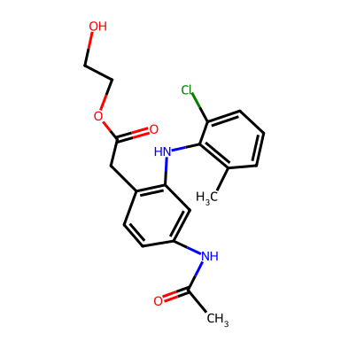 CC(=O)Nc1ccc(CC(=O)OCCO)c(Nc2c(C)cccc2Cl)c1